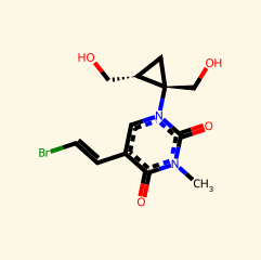 Cn1c(=O)c(/C=C/Br)cn([C@@]2(CO)C[C@H]2CO)c1=O